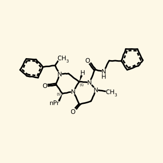 CCC[C@H]1C(=O)N(C(C)c2ccccc2)C[C@H]2N1C(=O)CN(C)N2C(=O)NCc1ccccc1